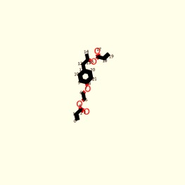 C=CC(=O)OCCOc1ccc(CC(C)OC(=O)C=C)cc1